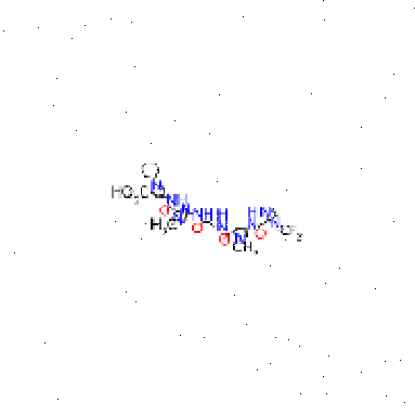 Cn1cc(NC(=O)c2nccn2CC(F)(F)F)cc1C(=O)NCCC(=O)Nc1cn(C)c(C(=O)Nc2cc(C(=O)O)n(C3CCCCC3)c2)n1